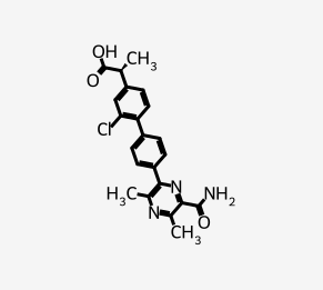 Cc1nc(C)c(-c2ccc(-c3ccc([C@H](C)C(=O)O)cc3Cl)cc2)nc1C(N)=O